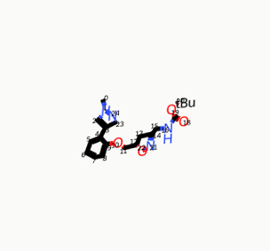 Cn1cc(-c2ccccc2OCC2CC(CNC(=O)OC(C)(C)C)=NO2)cn1